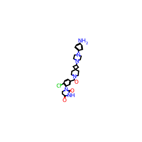 Nc1ccc(N2CCN(C3CC4(CCN(C(=O)c5ccc(Cl)c(N6CCC(=O)NC6=O)c5)CC4)C3)CC2)cc1